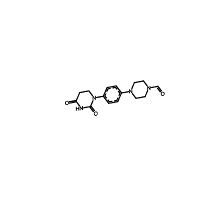 O=CN1CCN(c2ccc(N3CCC(=O)NC3=O)cc2)CC1